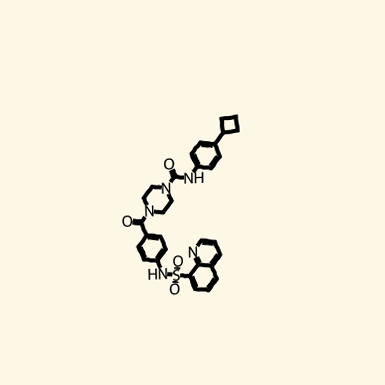 O=C(Nc1ccc(C2CCC2)cc1)N1CCN(C(=O)c2ccc(NS(=O)(=O)c3cccc4cccnc34)cc2)CC1